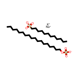 CCCCCCCCCCCCCCCCCCOS(=O)(=O)[O-].CCCCCCCCCCCCS(=O)(=O)[O-].[K+].[Na+]